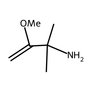 C=C(OC)C(C)(C)N